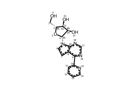 OC[C@H]1O[C@@H](n2ccc3c(-c4ccccn4)ncnc32)[C@H](O)[C@@H]1O